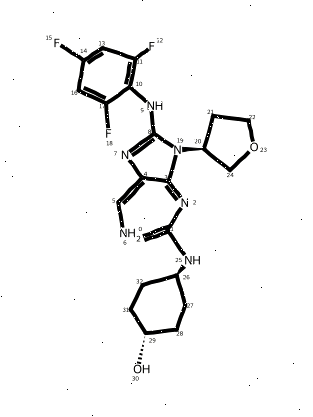 C=C(/N=C1\C(=C/N)N=C(Nc2c(F)cc(F)cc2F)N1[C@H]1CCOC1)N[C@H]1CC[C@H](O)CC1